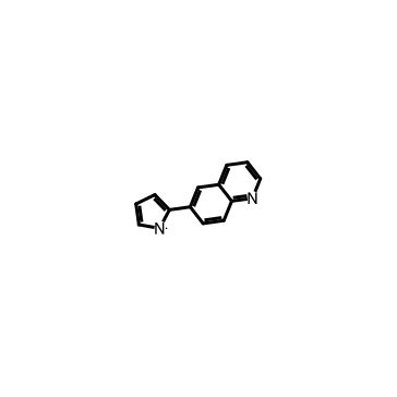 C1=C[N]C(c2ccc3ncccc3c2)=C1